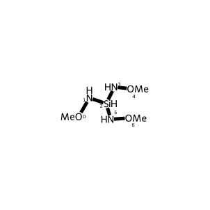 CON[SiH](NOC)NOC